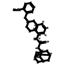 COc1ccccc1CN1CCc2c(ncnc2NC(=O)CC23CC4CC(CC(C4)C2)C3)C1